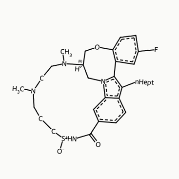 CCCCCCCc1c2n3c4cc(ccc14)C(=O)N[S+]([O-])CCCN(C)CCN(C)[C@@H](COc1ccc(F)cc1-2)C3